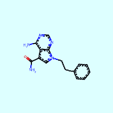 NC(=O)c1cn(CCc2ccccc2)c2ncnc(N)c12